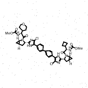 COC(=O)N[C@H](C(=O)N1[C@@H]2C[C@@H]2C[C@H]1c1nc(Cl)c(-c2ccc(-c3ccc(-c4[nH]c([C@@H]5C[C@H]6C[C@H]6N5C(=O)[C@@H](NC(=O)OC)C5CCOCC5)nc4Cl)cc3)cc2)[nH]1)C1CCC1